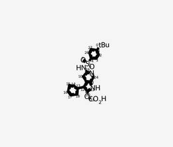 CC(C)(C)c1ccc(S(=O)(=O)Nc2cc3c(-c4ccccc4)c(OC(=O)O)[nH]c3cn2)cc1